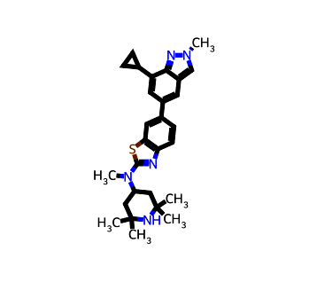 CN(c1nc2ccc(-c3cc(C4CC4)c4nn(C)cc4c3)cc2s1)C1CC(C)(C)NC(C)(C)C1